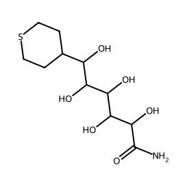 NC(=O)C(O)C(O)C(O)C(O)C(O)C1CCSCC1